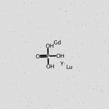 O=P(O)(O)O.[Gd].[Lu].[Y]